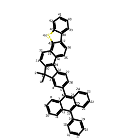 CC1(C)c2cc(-c3c4ccccc4c(-c4ccccc4)c4ccccc34)ccc2-c2c1ccc1c2ccc2c3ccccc3sc12